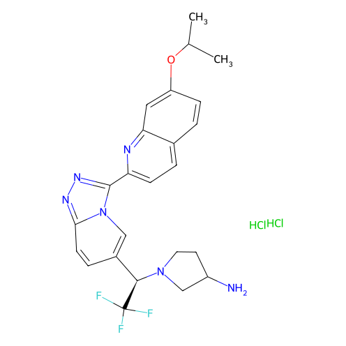 CC(C)Oc1ccc2ccc(-c3nnc4ccc([C@@H](N5CCC(N)C5)C(F)(F)F)cn34)nc2c1.Cl.Cl